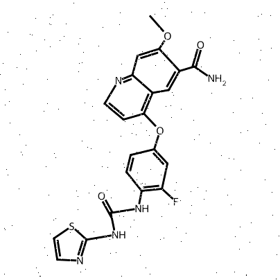 COc1cc2nccc(Oc3ccc(NC(=O)Nc4nccs4)c(F)c3)c2cc1C(N)=O